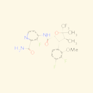 COc1c([C@@H]2[C@H](C(=O)Nc3ccnc(C(N)=O)c3F)O[C@](C)(C(F)(F)F)[C@H]2C)ccc(F)c1F